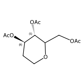 CC(=O)OCC1OCC[C@@H](OC(C)=O)[C@@H]1OC(C)=O